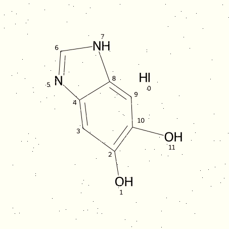 I.Oc1cc2nc[nH]c2cc1O